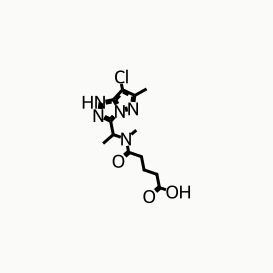 Cc1nn2c(C(C)N(C)C(=O)CCCC(=O)O)n[nH]c2c1Cl